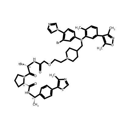 Cc1ccc(-c2c(C)noc2C)cc1N(CC1CCN(CCOCC(=O)N[C@H](C(=O)N2CCC[C@H]2C(=O)N[C@@H](C)c2ccc(-c3scnc3C)cc2)C(C)(C)C)CC1)c1ccc(-n2ccnc2)c(Br)c1